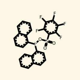 O=S(=O)(O[I+](c1cccc2ccccc12)c1cccc2ccccc12)c1c(F)c(F)c(F)c(F)c1F